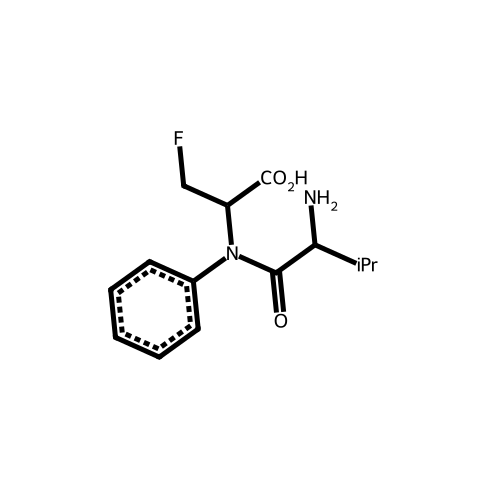 CC(C)C(N)C(=O)N(c1ccccc1)C(CF)C(=O)O